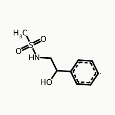 CS(=O)(=O)NCC(O)c1cc[c]cc1